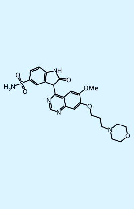 COc1cc2c(C3C(=O)Nc4ccc(S(N)(=O)=O)cc43)ncnc2cc1OCCCN1CCOCC1